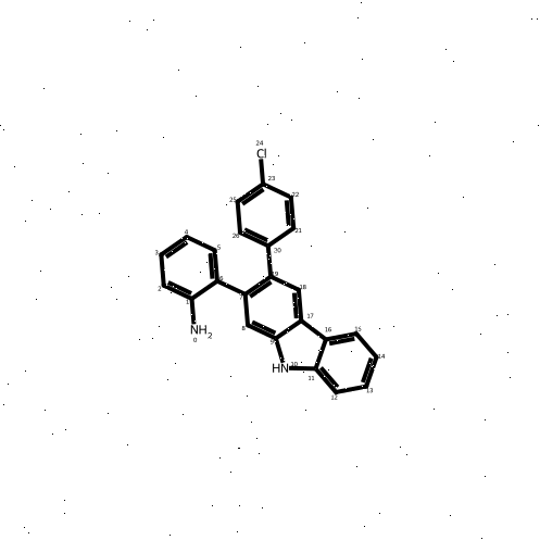 Nc1ccccc1-c1cc2[nH]c3ccccc3c2cc1-c1ccc(Cl)cc1